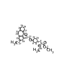 CCOC(=O)C(Cc1ccc(OCCOC2c3ccccc3C=Cc3cc(CC)ccc32)cc1)OCC